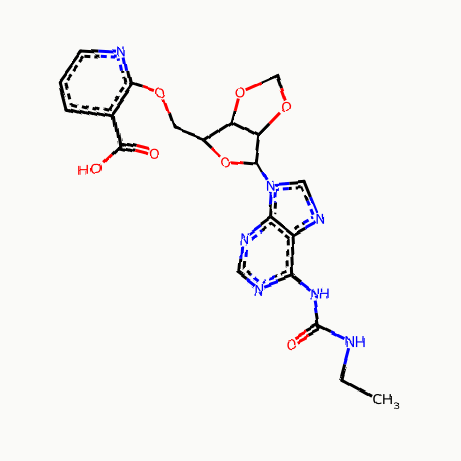 CCNC(=O)Nc1ncnc2c1ncn2C1OC(COc2ncccc2C(=O)O)C2OCOC21